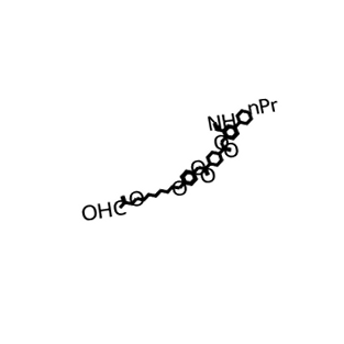 C=C(C=O)COCCCCCCOc1ccc(OC(=O)C2CCC(C(=O)Oc3ccc(C4CCC(CCC)CC4)cc3C=N)CC2)cc1